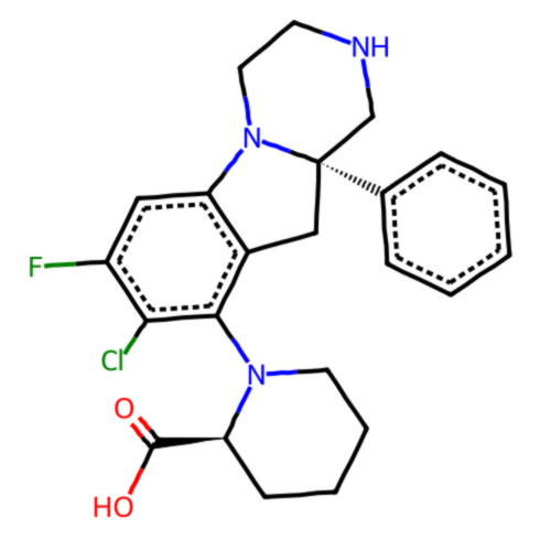 O=C(O)[C@@H]1CCCCN1c1c(Cl)c(F)cc2c1C[C@]1(c3ccccc3)CNCCN21